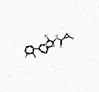 Cc1c(F)cccc1-c1ccc2nc(NC(=O)C3CC3F)c(Br)n2c1